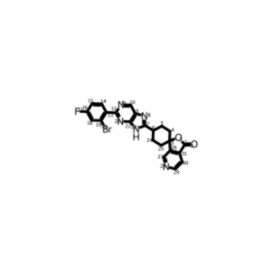 O=C1OC2(CCC(c3nc4cnc(-c5ccc(F)cc5Br)nc4[nH]3)CC2)c2cnccc21